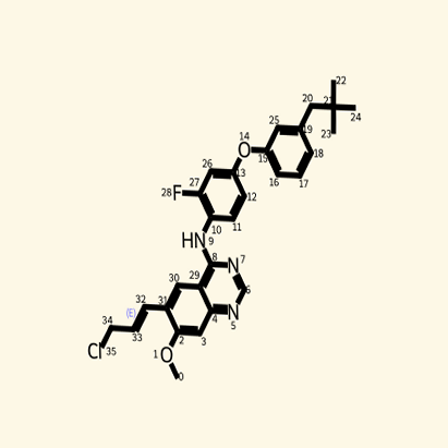 COc1cc2ncnc(Nc3ccc(Oc4cccc(CC(C)(C)C)c4)cc3F)c2cc1/C=C/CCl